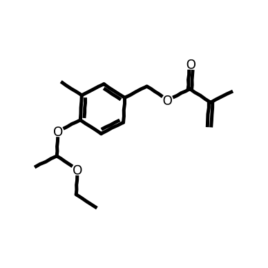 C=C(C)C(=O)OCc1ccc(OC(C)OCC)c(C)c1